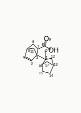 CC1(C23C=CC(CC2C(=O)O)C3)CC2CCC1C2